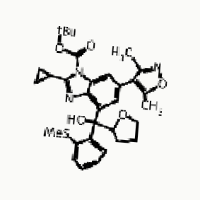 CSc1ccccc1C(O)(c1cc(-c2c(C)noc2C)cc2c1nc(C1CC1)n2C(=O)OC(C)(C)C)C1CCCO1